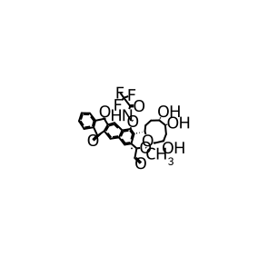 CO[C](C=O)c1cc2cc3c(cc2c(ONC(=O)C(F)(F)F)c1[C@@H]1CC[C@H](O)[C@H](O)C[C@@H](O)CO1)C(=O)c1ccccc1C3=O